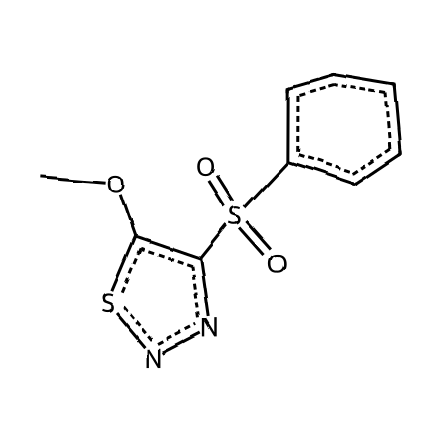 COc1snnc1S(=O)(=O)c1ccccc1